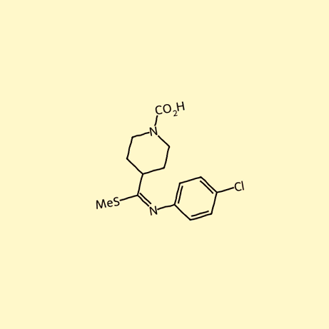 CSC(=Nc1ccc(Cl)cc1)C1CCN(C(=O)O)CC1